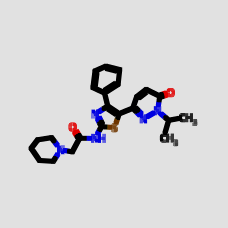 CC(C)n1nc(-c2sc(NC(=O)CN3CCCCC3)nc2-c2ccccc2)ccc1=O